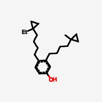 CCC1(CCCCc2ccc(O)cc2CCCCC2(C)CC2)CC1